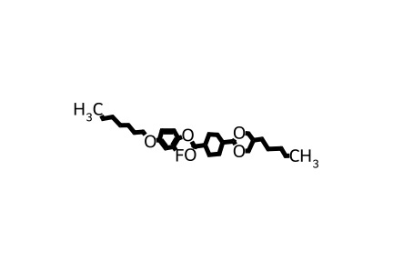 CCCCCCCOc1ccc(OC(=O)C2CCC(C3OCC(CCCCC)CO3)CC2)c(F)c1